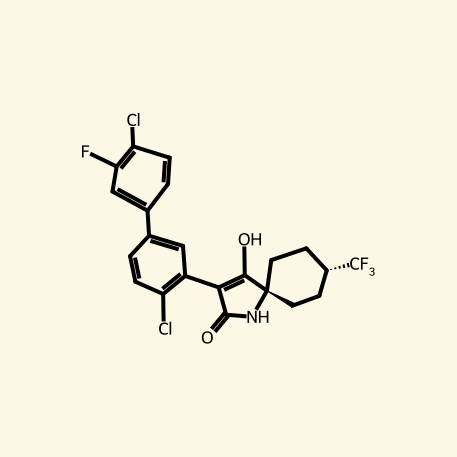 O=C1N[C@]2(CC[C@@H](C(F)(F)F)CC2)C(O)=C1c1cc(-c2ccc(Cl)c(F)c2)ccc1Cl